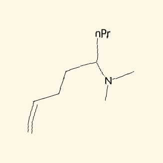 C=CCCC(CCC)N(C)C